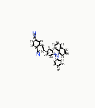 Cc1ccc(N(c2ccc(C=Cc3cc(C#N)ccc3C#N)cc2)c2cccc3ccccc23)cc1